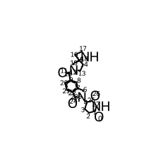 O=C1CCC(N2Cc3cc(C(=O)N4CCC5(CCN5)C4)ccc3C2=O)C(=O)N1